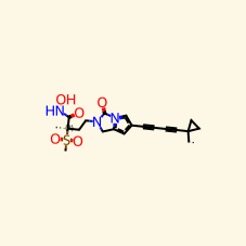 [CH2]C1(C#CC#Cc2cc3n(c2)C(=O)N(CC[C@](C)(C(=O)NO)S(C)(=O)=O)C3)CC1